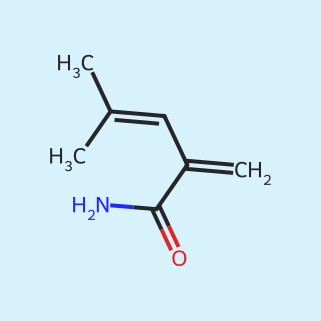 C=C(C=C(C)C)C(N)=O